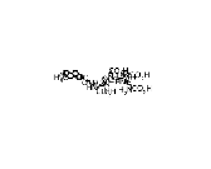 CC12CCC3c4ccc(OC(=O)CCC(=O)NC(CCC(=O)NC(CSSCC(NC(=O)CCC(N)C(=O)O)C(=O)NCC(=O)O)C(=O)NCC(=O)O)C(=O)O)cc4CCC3C1CCC2=O